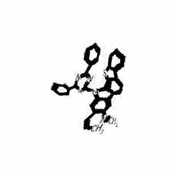 C=Nc1cc2c3ccc4c5ccccc5sc4c3n(-c3nc(-c4ccccc4)nc(-c4ccccc4)n3)c2cc1/C=C\C